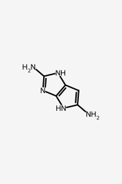 Nc1cc2[nH]c(N)nc2[nH]1